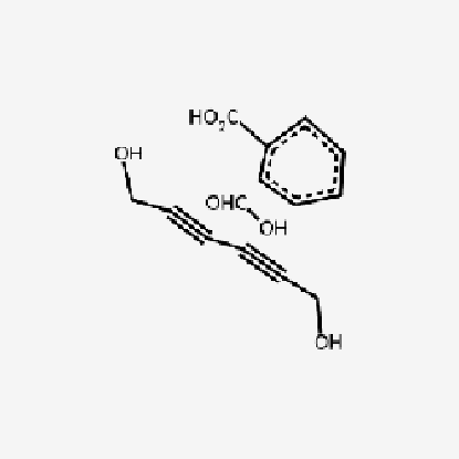 O=C(O)c1ccccc1.O=CO.OCC#CC#CCO